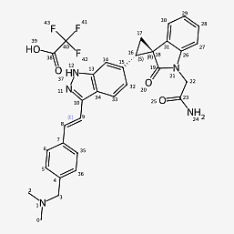 CN(C)Cc1ccc(/C=C/c2n[nH]c3cc([C@@H]4C[C@@]45C(=O)N(CC(N)=O)c4ccccc45)ccc23)cc1.O=C(O)C(F)(F)F